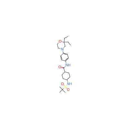 CCC1(CC)CN(c2ccc(NC(=O)C3CCC(NS(=O)(=O)C(C)(C)C)CC3)cc2)CCO1